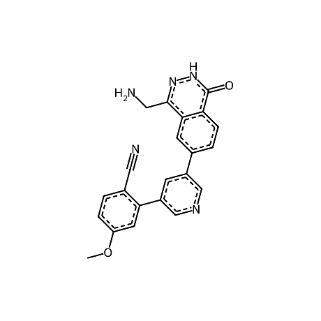 COc1ccc(C#N)c(-c2cncc(-c3ccc4c(=O)[nH]nc(CN)c4c3)c2)c1